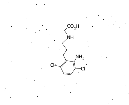 Nc1c(Cl)ccc(Cl)c1CCCNCC(=O)O